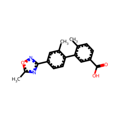 Cc1nc(-c2ccc(-c3cc(C(=O)O)ccc3C)c(C)c2)no1